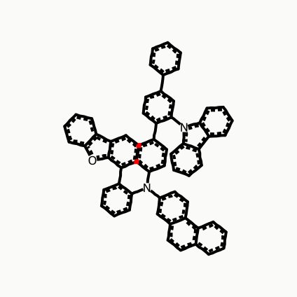 c1ccc(-c2ccc(-c3ccc(N(c4ccc5c(ccc6ccccc65)c4)c4ccccc4-c4cccc5c4oc4ccccc45)cc3)c(-n3c4ccccc4c4ccccc43)c2)cc1